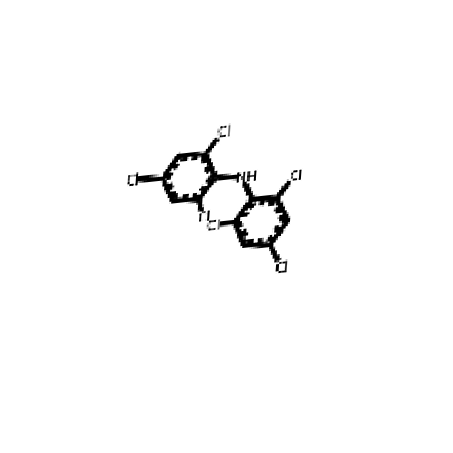 Clc1cc(Cl)c(Nc2c(Cl)cc(Cl)cc2Cl)c(Cl)c1